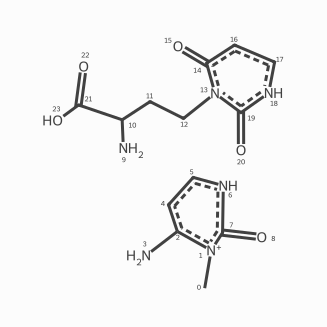 C[n+]1c(N)cc[nH]c1=O.NC(CCn1c(=O)cc[nH]c1=O)C(=O)O